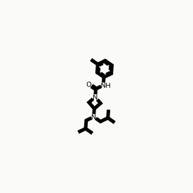 Cc1cccc(NC(=O)N2CC(N(CC(C)C)CC(C)C)C2)c1